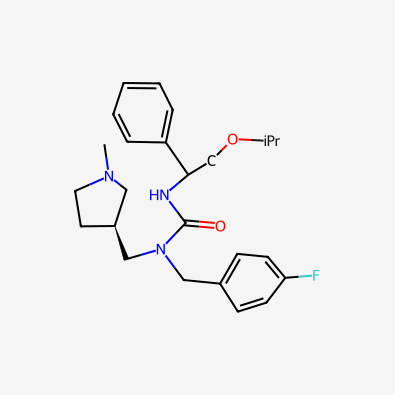 CC(C)OCC(NC(=O)N(Cc1ccc(F)cc1)C[C@H]1CCN(C)C1)c1ccccc1